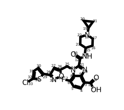 O=C(O)c1ccc(F)c2c1nc(C(=O)NC1CCN(C3CC3)CC1)n2Cc1cc(-c2ccc(Cl)s2)no1